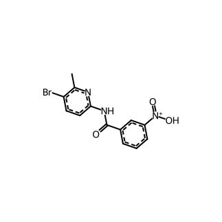 Cc1nc(NC(=O)c2cccc([N+](=O)O)c2)ccc1Br